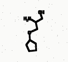 NC(CO)COC1CCCC1